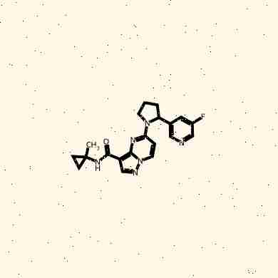 CC1(NC(=O)c2cnn3ccc(N4CCCC4c4cncc(F)c4)nc23)CC1